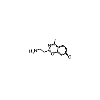 Cc1nc(CCN)oc2cc(=O)ccc1-2